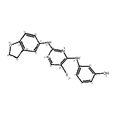 Oc1cccc(Nc2nc(Nc3ccc4c(c3)CCO4)ncc2F)c1